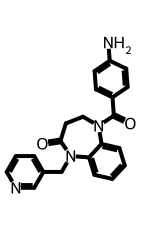 Nc1ccc(C(=O)N2CCC(=O)N(Cc3cccnc3)c3ccccc32)cc1